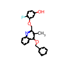 Cc1c(COc2cc(O)ccc2F)nc2ccccc2c1OCc1ccccc1